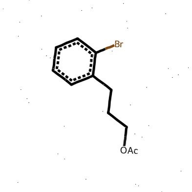 CC(=O)OCCCc1ccccc1Br